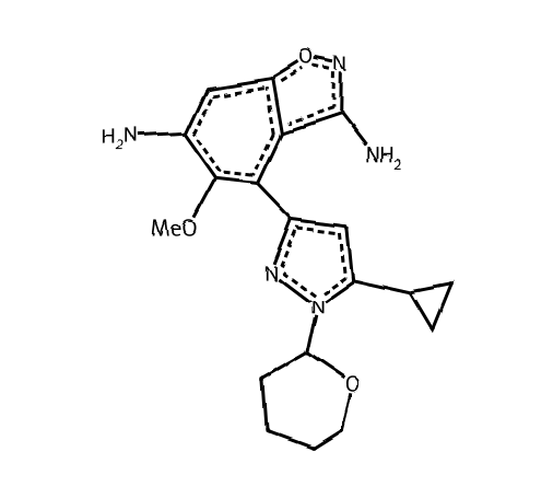 COc1c(N)cc2onc(N)c2c1-c1cc(C2CC2)n(C2CCCCO2)n1